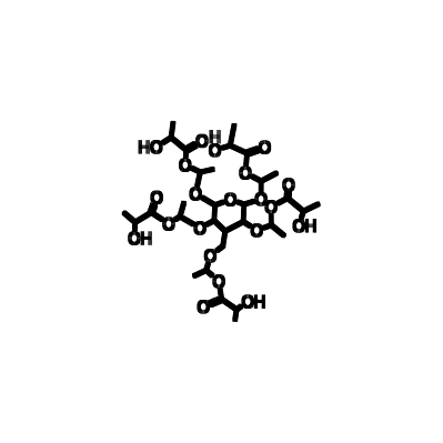 CC(OCC1C(OC(C)OC(=O)C(C)O)C(OC(C)OC(=O)C(C)O)OC(OC(C)OC(=O)C(C)O)C1OC(C)OC(=O)C(C)O)OC(=O)C(C)O